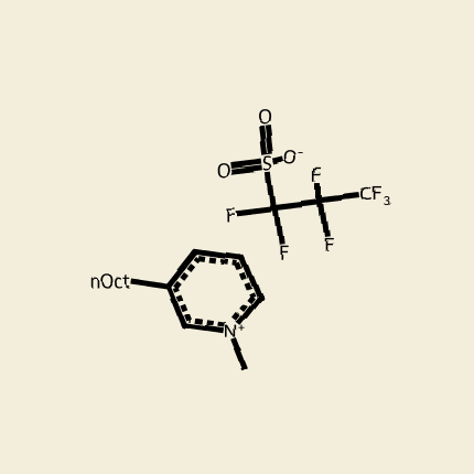 CCCCCCCCc1ccc[n+](C)c1.O=S(=O)([O-])C(F)(F)C(F)(F)C(F)(F)F